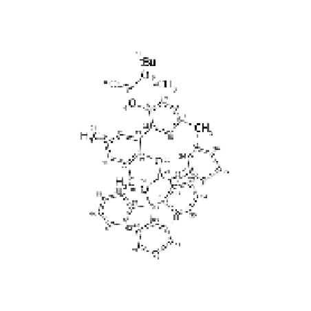 Cc1cc(C)c(OC(=O)OC(C)(C)C)c(-c2cc(C)cc(C)c2OP(Oc2ccccc2)OC(c2ccccc2)(c2ccccc2)c2ccccc2)c1